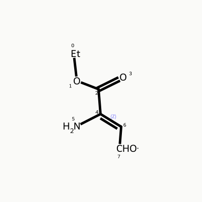 CCOC(=O)/C(N)=C/[C]=O